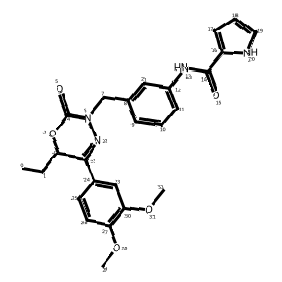 CCC1OC(=O)N(Cc2cccc(NC(=O)c3ccc[nH]3)c2)N=C1c1ccc(OC)c(OC)c1